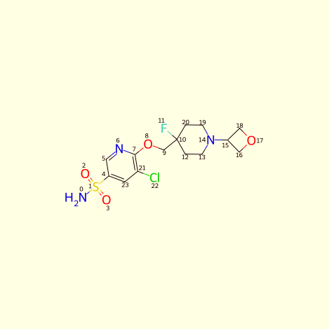 NS(=O)(=O)c1cnc(OCC2(F)CCN(C3COC3)CC2)c(Cl)c1